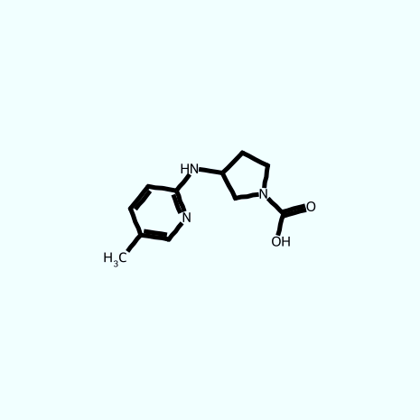 Cc1ccc(NC2CCN(C(=O)O)C2)nc1